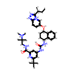 CC[C@H](C)c1nnc2ccc(O[C@@H]3CC[C@H](NC(=O)Nc4cc(C(=O)NCC(C)(C)N(C)C)nc(C(C)(C)C)c4)c4ccccc43)cn12